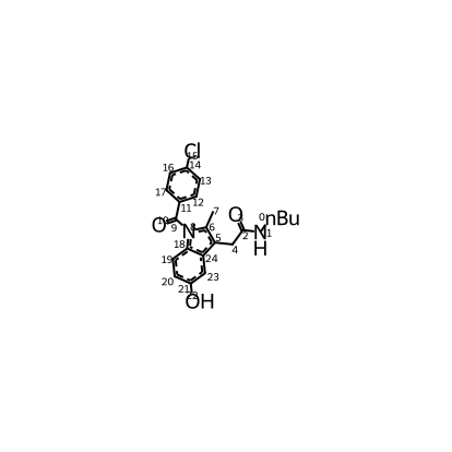 CCCCNC(=O)Cc1c(C)n(C(=O)c2ccc(Cl)cc2)c2ccc(O)cc12